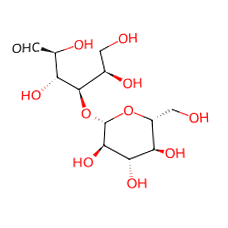 O=C[C@@H](O)[C@@H](O)[C@H](O[C@@H]1O[C@H](CO)[C@@H](O)[C@H](O)[C@H]1O)[C@H](O)CO